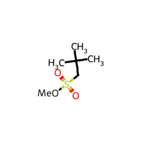 COS(=O)(=O)CC(C)(C)C